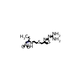 CS/C(=C/[N+](=O)[O-])NCCSCc1csc(N=C(N)N)n1